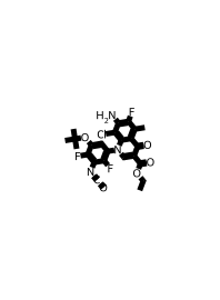 CCOC(=O)c1cn(-c2cc(OC(C)(C)C)c(F)c(N=C=O)c2F)c2c(Cl)c(N)c(F)c(C)c2c1=O